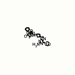 C[C@H](N[P@](=O)(OC[C@@H]1C=C[C@H](n2cnc3c(N4CCOCC4)nc(N)nc32)C1)Oc1ccccc1)C(=O)O